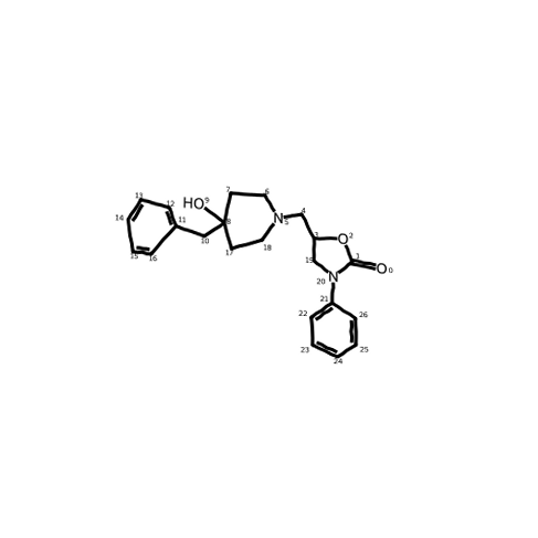 O=C1OC(CN2CCC(O)(Cc3ccccc3)CC2)CN1c1ccccc1